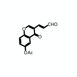 CC(=O)Oc1ccc2occ(C=CC=O)c(=O)c2c1